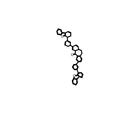 O=C1c2cc(-c3cccc(-c4cccc5c4oc4ccccc45)c3)ccc2CCC2C=CC(C3C=C(C4CC=Cc5c4oc4ccccc54)C=CC3)=CC12